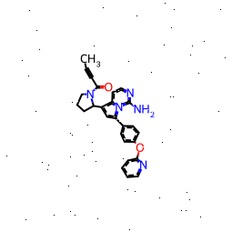 CC#CC(=O)N1CCCC1c1cc(-c2ccc(Oc3ccccn3)cc2)n2c(N)nccc12